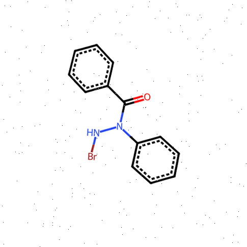 O=C(c1ccccc1)N(NBr)c1ccccc1